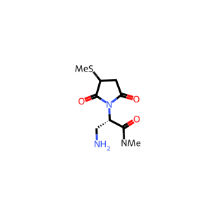 CNC(=O)[C@H](CN)N1C(=O)CC(SC)C1=O